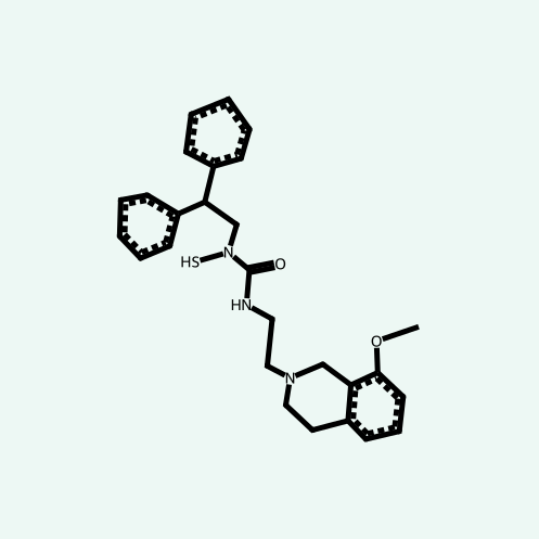 COc1cccc2c1CN(CCNC(=O)N(S)CC(c1ccccc1)c1ccccc1)CC2